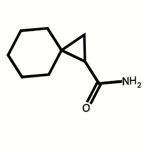 NC(=O)C1CC12CCCCC2